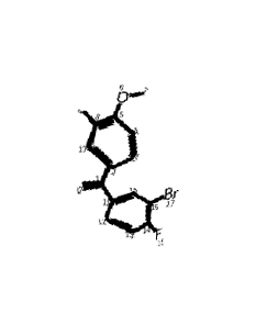 C=C(c1ccc(OC)c(C)c1)c1ccc(F)c(Br)c1